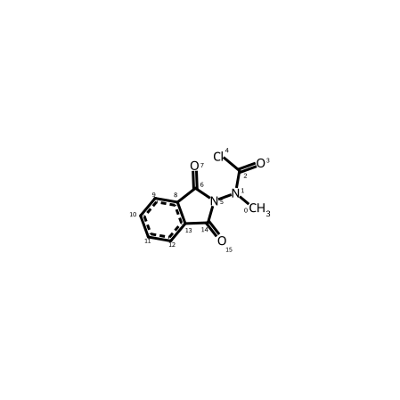 CN(C(=O)Cl)N1C(=O)c2ccccc2C1=O